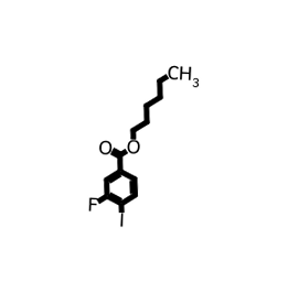 CCCCCCOC(=O)c1ccc(I)c(F)c1